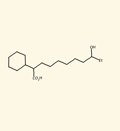 CCC(O)CCCCCCC(C(=O)O)C1CCCCC1